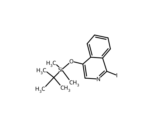 CC(C)(C)[Si](C)(C)Oc1cnc(I)c2ccccc12